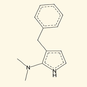 CN(C)c1[nH]ccc1Cc1ccccc1